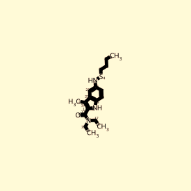 CCCCSNc1ccc2[nH]c(C(=O)N(CC)CC)c(C)c2c1